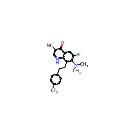 CN(C)c1c(F)cc2c(=O)c(C#N)c[nH]c2c1CCc1ccc(C(F)(F)F)cc1